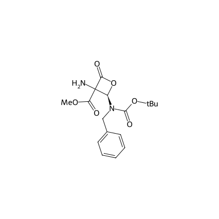 COC(=O)C1(N)C(=O)O[C@H]1N(Cc1ccccc1)C(=O)OC(C)(C)C